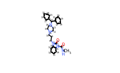 CNC(=O)n1c(=O)n(CCCN2CCN(C(c3ccccc3)c3ccccc3)CC2)c2ccccc21